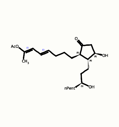 CCCCC[C@H](O)CC[C@H]1[C@H](O)CC(=O)[C@@H]1CCC/C=C/C=C(\C)OC(C)=O